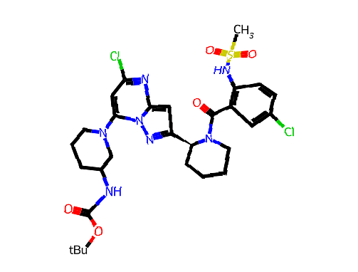 CC(C)(C)OC(=O)NC1CCCN(c2cc(Cl)nc3cc([C@@H]4CCCCN4C(=O)c4cc(Cl)ccc4NS(C)(=O)=O)nn23)C1